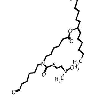 CCCCCCC(CCCCCC)OC(=O)CCCCCN(CCCCCC=O)C(=O)SCCN(C)C